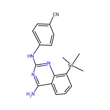 [CH3][Sn]([CH3])([CH3])[c]1cccc2c(N)nc(Nc3ccc(C#N)cc3)nc12